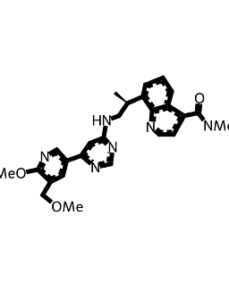 CNC(=O)c1ccnc2c([C@H](C)CNc3cc(-c4cnc(OC)c(COC)c4)ncn3)cccc12